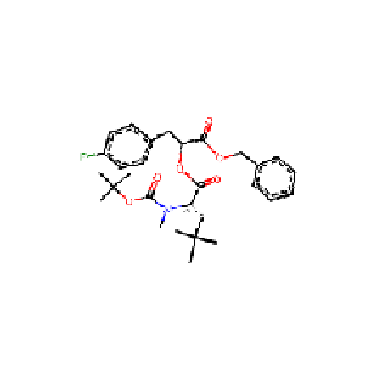 CN(C(=O)OC(C)(C)C)[C@@H](CC(C)(C)C)C(=O)OC(Cc1ccc(F)cc1)C(=O)OCc1ccccc1